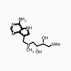 CSC[C@H](O)[C@H](O)CN(C)Cc1c[nH]c2c(N)ncnc12